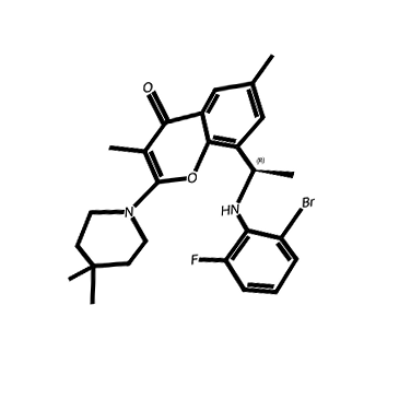 Cc1cc([C@@H](C)Nc2c(F)cccc2Br)c2oc(N3CCC(C)(C)CC3)c(C)c(=O)c2c1